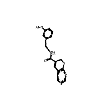 COc1cccc(CNC(=O)C2=Cc3cncnc3SC2)c1